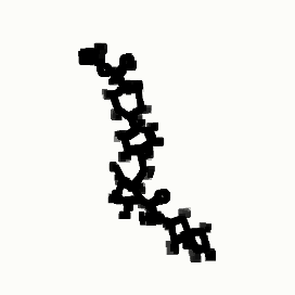 Cc1sc(C)c(C(=O)NC2CC3(CCC3)C2)c1Cc1ccc(C2CCN(C(=O)OC(C)(C)C)CC2)cc1